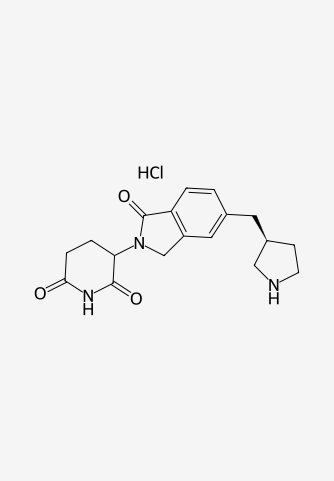 Cl.O=C1CCC(N2Cc3cc(C[C@H]4CCNC4)ccc3C2=O)C(=O)N1